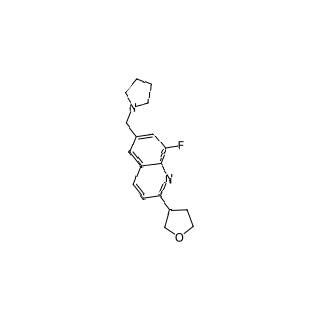 Fc1cc(CN2CCCC2)cc2ccc(C3CCOC3)nc12